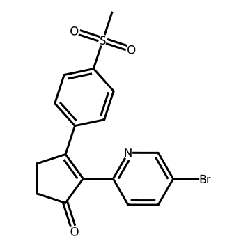 CS(=O)(=O)c1ccc(C2=C(c3ccc(Br)cn3)C(=O)CC2)cc1